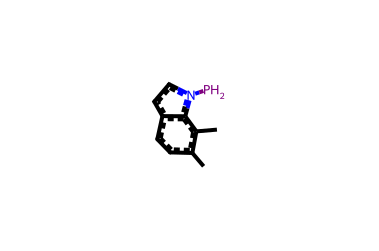 Cc1ccc2ccn(P)c2c1C